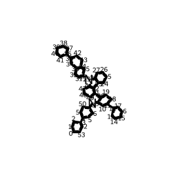 c1ccc(-c2ccc(-n3c4cc(-c5ccccc5)ccc4c4c5c6ccccc6n(-c6ccc7cc(-c8ccccc8)ccc7c6)c5ccc43)cc2)cc1